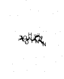 CC(C)(C)OC(=O)NCc1ccnc(C#N)n1